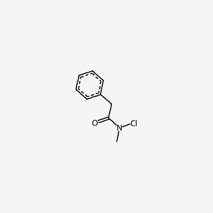 CN(Cl)C(=O)Cc1ccccc1